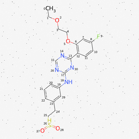 CCOCCOc1cc(F)ccc1-c1ncnc(Nc2cccc(CC[SH](=O)=O)c2)n1